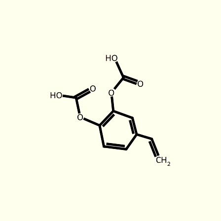 C=Cc1ccc(OC(=O)O)c(OC(=O)O)c1